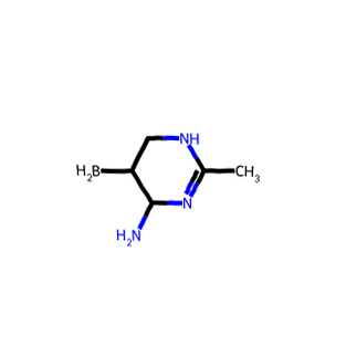 BC1CNC(C)=NC1N